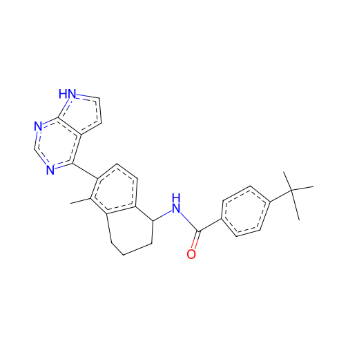 Cc1c(-c2ncnc3[nH]ccc23)ccc2c1CCCC2NC(=O)c1ccc(C(C)(C)C)cc1